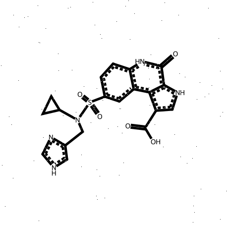 O=C(O)c1c[nH]c2c(=O)[nH]c3ccc(S(=O)(=O)N(Cc4c[nH]cn4)C4CC4)cc3c12